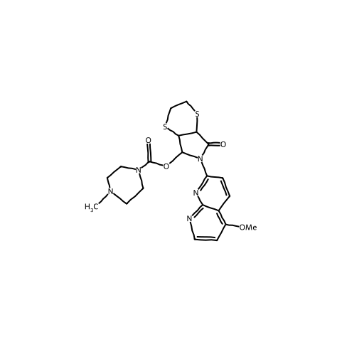 COc1ccnc2nc(N3C(=O)C4SCCSC4C3OC(=O)N3CCN(C)CC3)ccc12